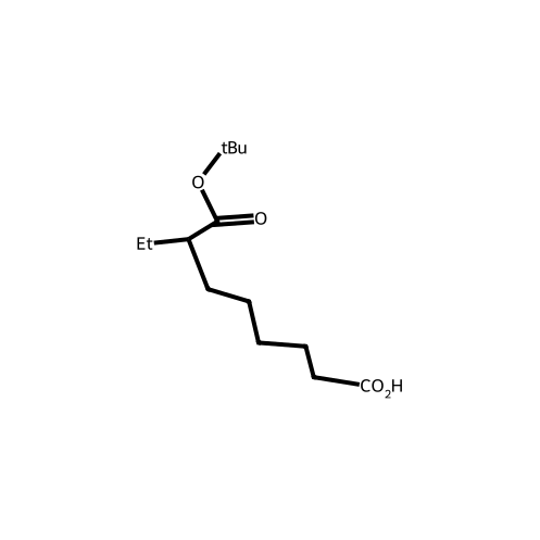 CCC(CCCCCC(=O)O)C(=O)OC(C)(C)C